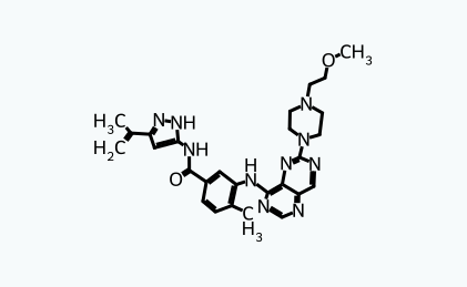 C=C(C)c1cc(NC(=O)c2ccc(C)c(Nc3ncnc4cnc(N5CCN(CCOC)CC5)nc34)c2)[nH]n1